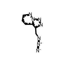 [N-]=[N+]=NCc1nnn2ncccc12